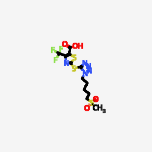 CS(=O)(=O)CCCCCn1nnnc1Sc1nc(C(F)(F)F)c(C(=O)O)s1